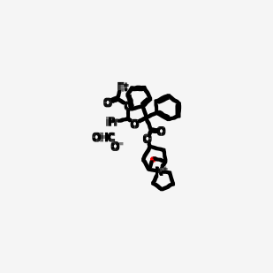 CCC(=O)OC(OC(C(=O)OC1CC2CCC(C1)[N+]21CCCC1)(c1ccccc1)c1ccccc1)C(C)C.O=C[O-]